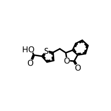 O=C(O)c1ccc(CC2OC(=O)c3ccccc32)s1